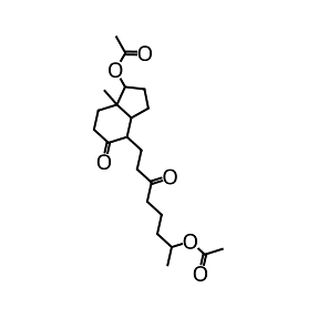 CC(=O)OC(C)CCCC(=O)CCC1C(=O)CCC2(C)C(OC(C)=O)CCC12